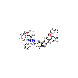 c1ccc(-c2nc(-c3ccc4oc5cc(-c6cccc7c6oc6ccccc67)ccc5c4c3)nc(-c3cccc4oc5ccccc5c34)n2)cc1